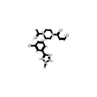 CC(=O)N1CCN(C(=O)/C=C\Cl)C[C@@H]1c1cc(Cl)cc(-c2nnn(C)n2)c1